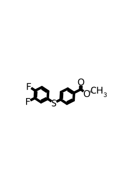 COC(=O)c1ccc(Sc2ccc(F)c(F)c2)cc1